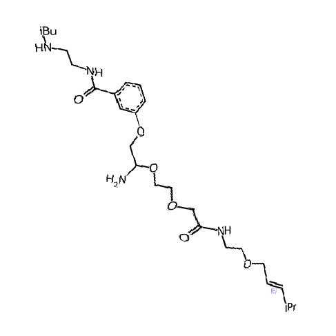 CCC(C)NCCNC(=O)c1cccc(OCC(N)OCCOCC(=O)NCCOC/C=C/C(C)C)c1